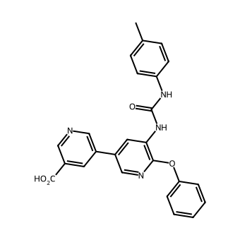 Cc1ccc(NC(=O)Nc2cc(-c3cncc(C(=O)O)c3)cnc2Oc2ccccc2)cc1